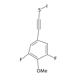 COc1c(F)cc(C#CSI)cc1F